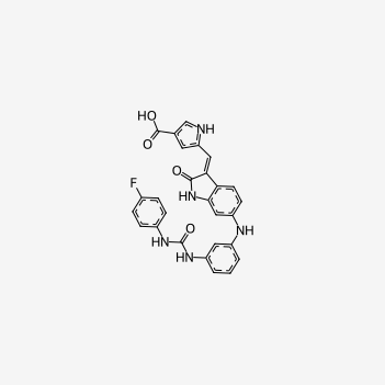 O=C(Nc1ccc(F)cc1)Nc1cccc(Nc2ccc3c(c2)NC(=O)C3=Cc2cc(C(=O)O)c[nH]2)c1